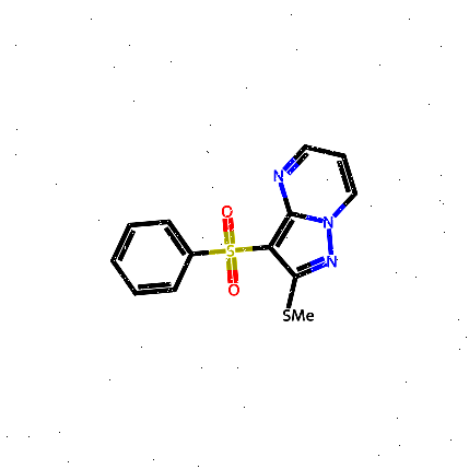 CSc1nn2cccnc2c1S(=O)(=O)c1ccccc1